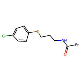 CCC(=O)NCCCSc1ccc(Cl)cc1